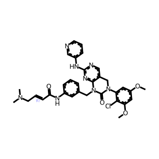 COc1cc(OC)c(Cl)c(N2Cc3cnc(Nc4cccnc4)nc3N(Cc3cccc(NC(=O)/C=C/CN(C)C)c3)C2=O)c1